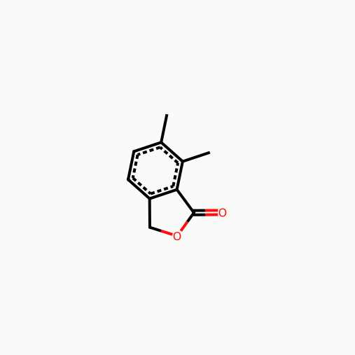 Cc1ccc2c(c1C)C(=O)OC2